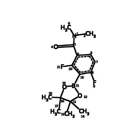 CN(C)C(=O)c1ccc(F)c(B2OC(C)(C)C(C)(C)O2)c1F